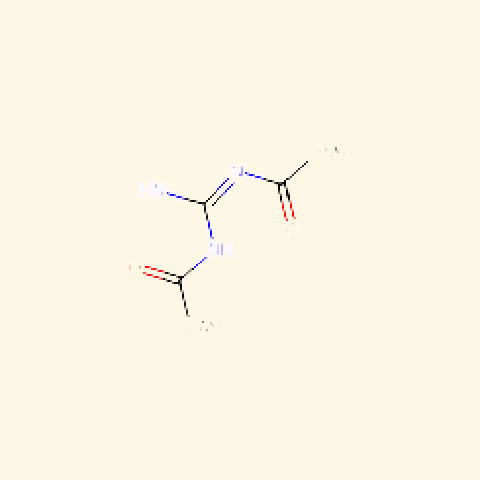 COC(=O)N=C([NH])NC(=O)OC